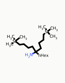 CCCCCCC(N)(CCCC[Si](C)(C)C)CCCC[Si](C)(C)C